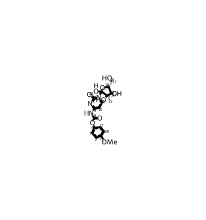 COc1ccc(OC(=O)Nc2ccn([C@]3(O)O[C@H](CO)[C@@H](O)[C@@]3(C)O)c(=O)n2)cc1